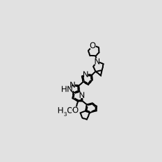 COc1cc2[nH]nc(-c3ccc(C45CC4CN(C4CCOCC4)C5)nc3)c2nc1-c1cccc2c1CCC2